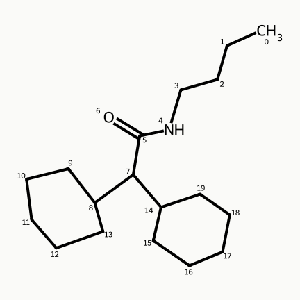 CCCCNC(=O)C(C1CCCCC1)C1CCCCC1